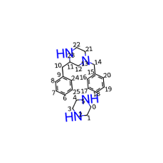 C1CNCCN1.c1ccc(CC2CN(Cc3ccccc3)CCN2)cc1